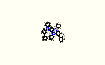 Cc1ccccc1-c1cc2c(cc1C)N(c1ccccc1)c1cc3c4ccccc4n(-c4cccc(-c5ccccc5)c4)c3cc1N2c1ccccc1